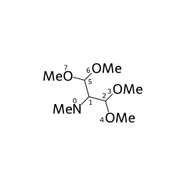 CNC(C(OC)OC)C(OC)OC